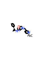 CC(=O)c1ccc(CN2CCC3(CC2)CC(N[C@@H]2C[C@H]2c2ccccc2)CO3)cn1